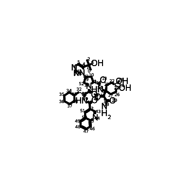 CC(C)(O)c1cnnn1[C@H]1C[C@@H](C(=O)NC2(C(=O)C(N)=O)CCS(O)(O)CC2)N(C(=O)[C@@H](CC2CCCCC2)NC(=O)c2cnc3ccccc3c2)C1